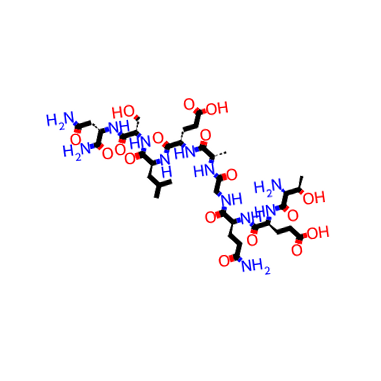 CC(C)C[C@H](NC(=O)[C@H](CCC(=O)O)NC(=O)[C@H](C)NC(=O)CNC(=O)[C@H](CCC(N)=O)NC(=O)[C@H](CCC(=O)O)NC(=O)[C@@H](N)[C@@H](C)O)C(=O)N[C@@H](CO)C(=O)N[C@@H](CC(N)=O)C(N)=O